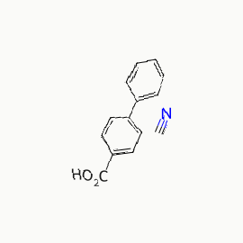 C#N.O=C(O)c1ccc(-c2ccccc2)cc1